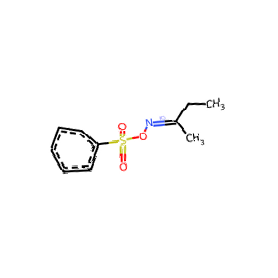 CC/C(C)=N/OS(=O)(=O)c1ccccc1